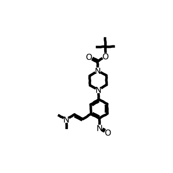 CN(C)/C=C/c1cc(N2CCN(C(=O)OC(C)(C)C)CC2)ccc1N=O